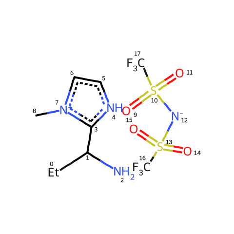 CCC(N)c1[nH]cc[n+]1C.O=S(=O)([N-]S(=O)(=O)C(F)(F)F)C(F)(F)F